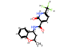 CC1CC(NC(=O)c2ccc(C(F)(F)F)[nH]c2=O)c2ccccc2O1